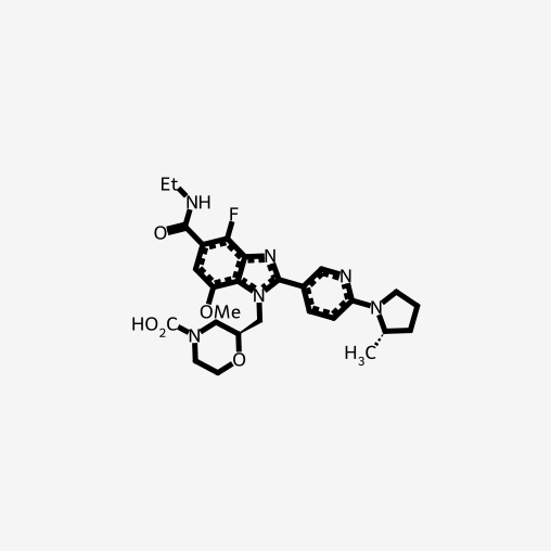 CCNC(=O)c1cc(OC)c2c(nc(-c3ccc(N4CCC[C@@H]4C)nc3)n2C[C@@H]2CN(C(=O)O)CCO2)c1F